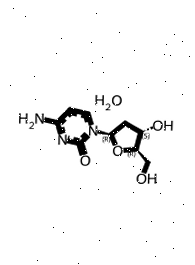 Nc1ccn([C@H]2C[C@H](O)[C@@H](CO)O2)c(=O)n1.O